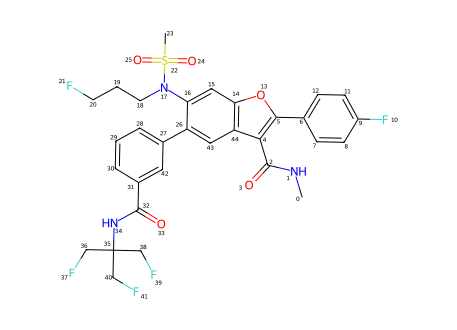 CNC(=O)c1c(-c2ccc(F)cc2)oc2cc(N(CCCF)S(C)(=O)=O)c(-c3cccc(C(=O)NC(CF)(CF)CF)c3)cc12